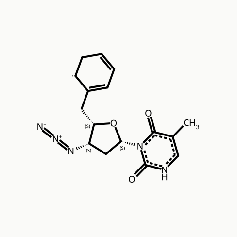 Cc1c[nH]c(=O)n([C@@H]2C[C@H](N=[N+]=[N-])[C@H](CC3=CC=CC[CH]3)O2)c1=O